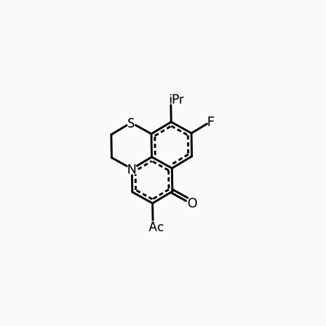 CC(=O)c1cn2c3c(c(C(C)C)c(F)cc3c1=O)SCC2